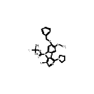 COc1cc2c3c(N4CCCC4)ncc(Cl)c3n(C(=O)OC(C)(C)C)c2cc1OCc1ccccc1